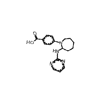 O=C(O)c1ccc(N2CCCCCC2Nc2ncccn2)cc1